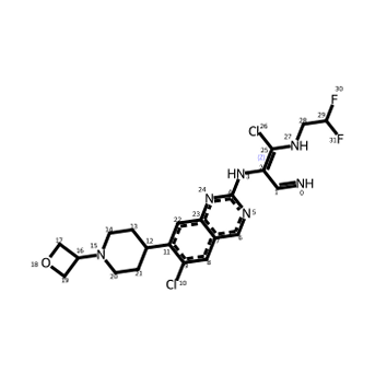 N=C/C(Nc1ncc2cc(Cl)c(C3CCN(C4COC4)CC3)cc2n1)=C(/Cl)NCC(F)F